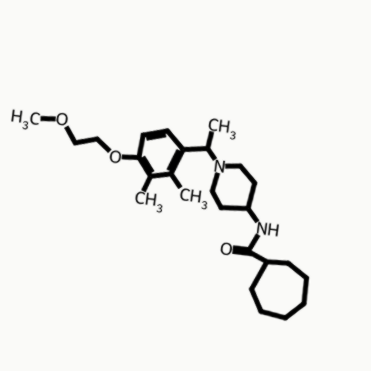 COCCOc1ccc(C(C)N2CCC(NC(=O)C3CCCCCC3)CC2)c(C)c1C